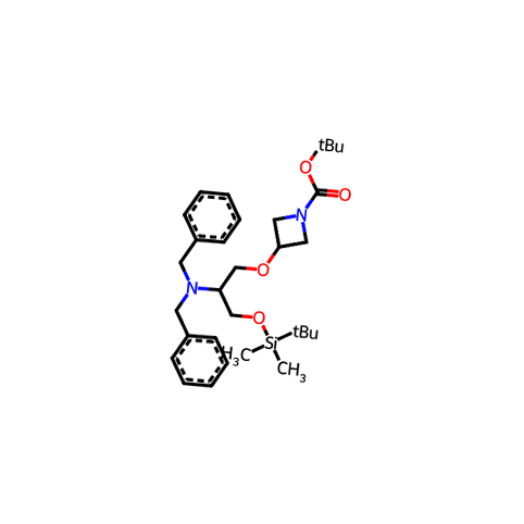 CC(C)(C)OC(=O)N1CC(OCC(CO[Si](C)(C)C(C)(C)C)N(Cc2ccccc2)Cc2ccccc2)C1